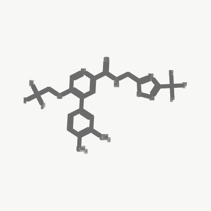 Cc1ccc(-c2cc(C(=O)NCc3nc(C(F)(F)F)no3)ncc2OCC(F)(F)F)cc1C